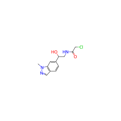 Cn1ncc2ccc(C(O)CNC(=O)CCl)cc21